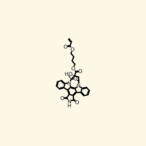 C=CC(=O)OCCCCOC(=O)[C@@]1(O)CC2O[C@]1(C)n1c3ccccc3c3c4c(c5c6ccccc6n2c5c31)C(=O)NC4=O